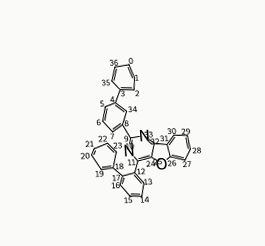 c1ccc(-c2cccc(-c3nc(-c4ccccc4-c4ccccc4)c4oc5ccccc5c4n3)c2)cc1